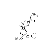 COc1ccc([C@@H]2CN(C(=O)CN)C[C@@]2(C)[C@@H](C)O)cc1OC1CCCC1